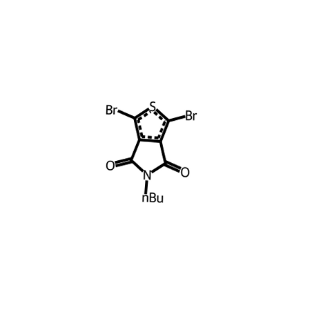 CCCCN1C(=O)c2c(Br)sc(Br)c2C1=O